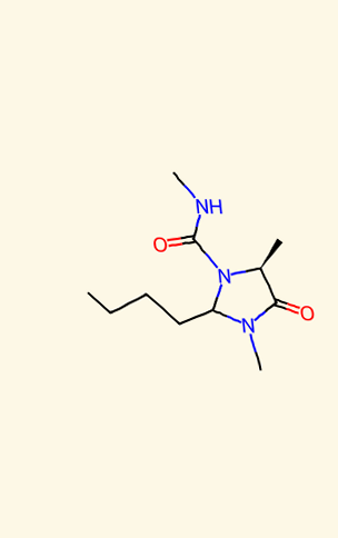 CCCCC1N(C)C(=O)[C@H](C)N1C(=O)NC